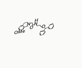 COc1cccc2c1CN(CC(=O)NCCCOC(c1ccccc1)c1ccccc1)CC2